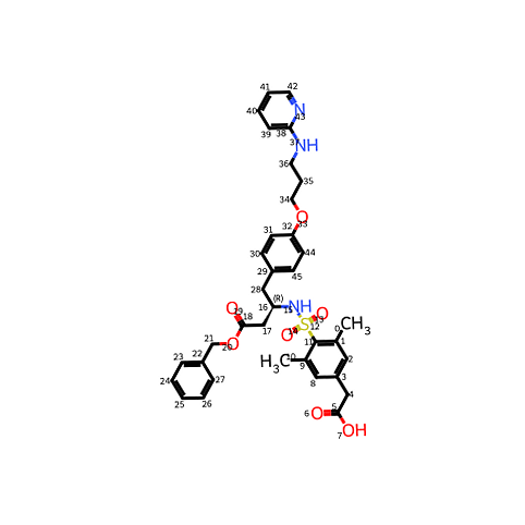 Cc1cc(CC(=O)O)cc(C)c1S(=O)(=O)N[C@@H](CC(=O)OCc1ccccc1)Cc1ccc(OCCCNc2ccccn2)cc1